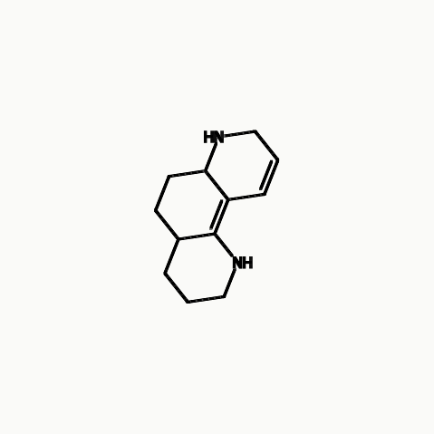 C1=CC2=C3NCCCC3CCC2NC1